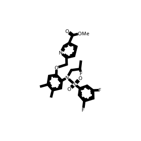 COC(=O)c1ccc(COc2cc(C)c(C)cc2N(CC(C)F)S(=O)(=O)c2cc(F)cc(F)c2)nc1